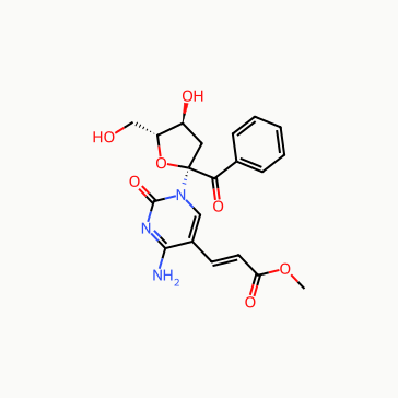 COC(=O)/C=C/c1cn([C@@]2(C(=O)c3ccccc3)C[C@H](O)[C@@H](CO)O2)c(=O)nc1N